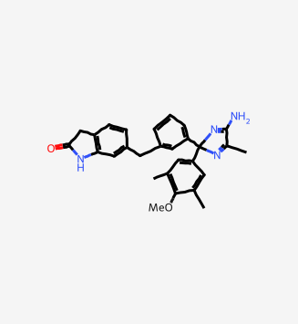 COc1c(C)cc(C2(c3cccc(Cc4ccc5c(c4)NC(=O)C5)c3)N=C(C)C(N)=N2)cc1C